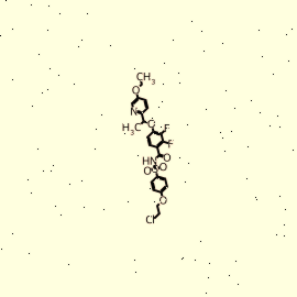 CCOc1ccc(C(C)Oc2ccc(C(=O)NS(=O)(=O)c3ccc(OCCCl)cc3)c(F)c2F)nc1